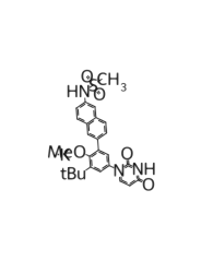 COc1c(-c2ccc3cc(NS(C)(=O)=O)ccc3c2)cc(-n2ccc(=O)[nH]c2=O)cc1C(C)(C)C.[K]